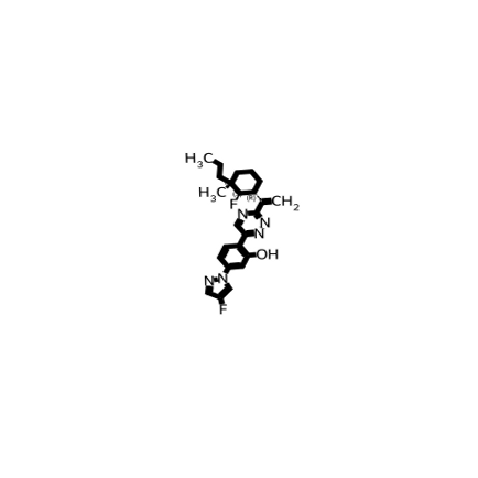 C=C(c1ncc(-c2ccc(-n3cc(F)cn3)cc2O)nn1)[C@H]1CCC[C@@](C)(CCC)[C@H]1F